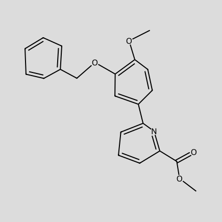 COC(=O)c1cccc(-c2ccc(OC)c(OCc3ccccc3)c2)n1